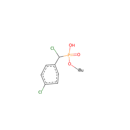 CCC(C)OP(=O)(O)C(Cl)c1ccc(Cl)cc1